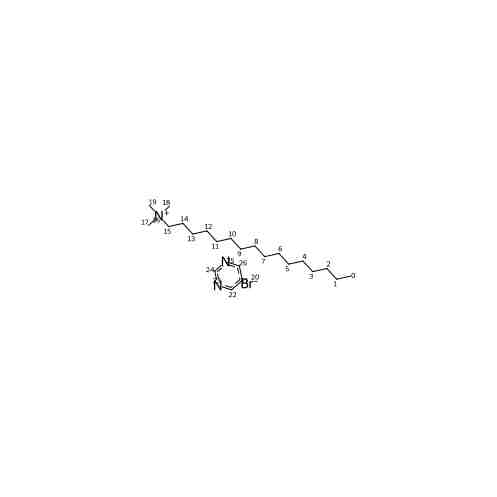 CCCCCCCCCCCCCCCC[N+](C)(C)C.[Br-].c1cncnc1